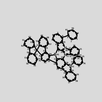 c1ccc(-c2cccc3c4c5n(c6ccccc6n5c23)-c2c3c(cc5c6ccccc6n(-c6ccccc6)c25)-c2ccc5c(c2B34)-c2ccccc2C52c3ccccc3-c3ccccc32)cc1